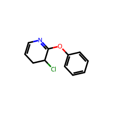 ClC1CC=CN=C1Oc1ccccc1